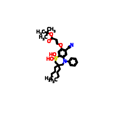 CCCCC1(CCCC)CN(c2ccccc2)c2cc(C#N)c(O/C=C/C(=O)OC(C)(C)C)cc2S(O)(O)C1